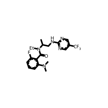 CCN(C(=O)c1c(F)cccc1N(C)C)C(C)CNc1ncc(C(F)(F)F)cn1